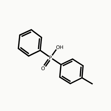 Cc1ccc(P(=O)(O)c2ccccc2)cc1